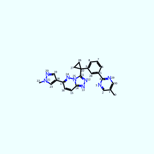 Cc1cnc(-c2cccc(C3(c4nnc5ccc(-c6cnn(C)c6)nn45)CC3)c2)nc1